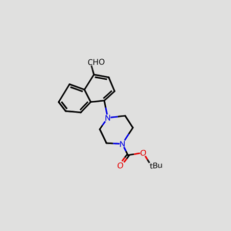 CC(C)(C)OC(=O)N1CCN(c2ccc(C=O)c3ccccc23)CC1